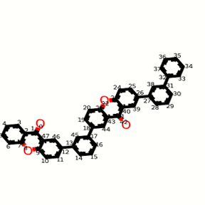 O=c1c2ccccc2oc2ccc(-c3cccc(-c4ccc5oc6ccc(-c7cccc(-c8ccccc8)c7)cc6c(=O)c5c4)c3)cc12